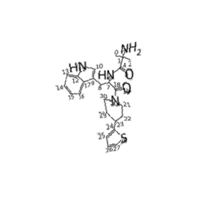 CC(C)(N)C(=O)NC(Cc1c[nH]c2ccccc12)C(=O)N1CCC(c2cccs2)CC1